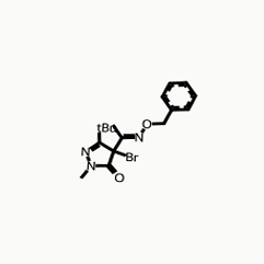 C/C(=N\OCc1ccccc1)C1(Br)C(=O)N(C)N=C1C(C)(C)C